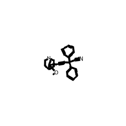 COC1(C#CC(C#N)(c2ccccc2)c2ccccc2)CN2CCC1CC2